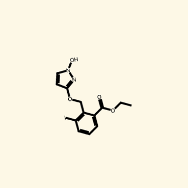 CCOC(=O)c1cccc(I)c1COc1ccn(O)n1